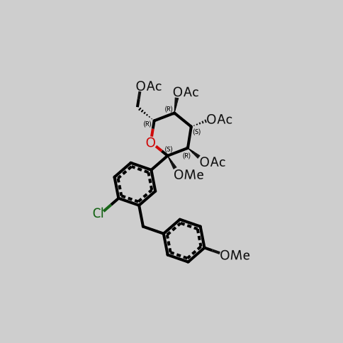 COc1ccc(Cc2cc([C@]3(OC)O[C@H](COC(C)=O)[C@@H](OC(C)=O)[C@H](OC(C)=O)[C@H]3OC(C)=O)ccc2Cl)cc1